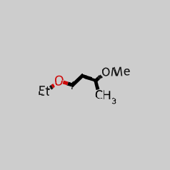 CCO[CH]CC(C)OC